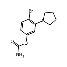 NC(=O)Oc1ccc(Br)c(P2CCCC2)c1